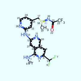 CC(C)Nc1nc(C(F)F)cc2cnc(Nc3cc(C/S(C)=N/C(=O)C(F)(F)F)ccn3)cc12